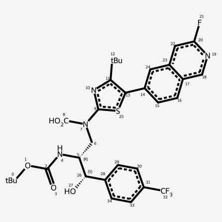 CC(C)(C)OC(=O)N[C@H](CN(C(=O)O)c1nc(C(C)(C)C)c(-c2ccc3cnc(F)cc3c2)s1)[C@@H](O)c1ccc(C(F)(F)F)cc1